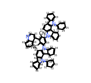 N#Cc1c(-n2c3ccccc3c3c2ccc2c4ccccc4n(-c4ccccc4)c23)cc(-n2c3ccccc3c3c2ccc2c4ccccc4n(-c4ccccc4)c23)c(C#N)c1-c1ccnc2ccccc12